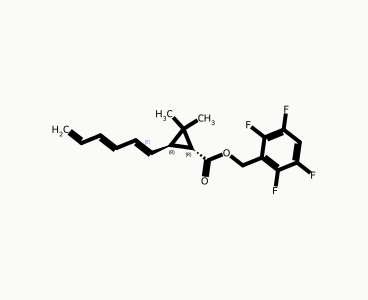 C=CC=C/C=C/[C@@H]1[C@@H](C(=O)OCc2c(F)c(F)cc(F)c2F)C1(C)C